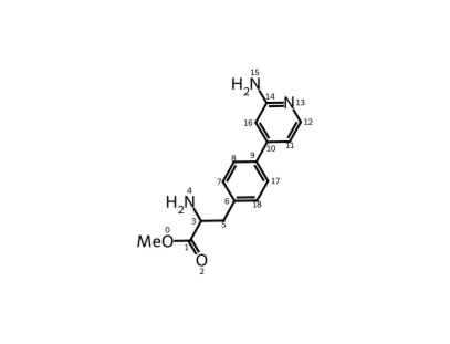 COC(=O)C(N)Cc1ccc(-c2ccnc(N)c2)cc1